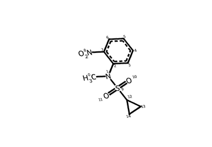 CN(c1ccccc1[N+](=O)[O-])S(=O)(=O)C1CC1